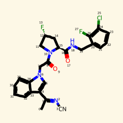 C/C(=N\C#N)c1cn(CC(=O)N2C[C@H](F)C[C@H]2C(=O)NCc2cccc(Cl)c2F)c2ccccc12